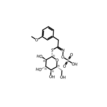 COc1cccc(CC(=NOS(=O)(=O)O)S[C@@H]2O[C@H](CO)[C@@H](O)[C@H](O)[C@H]2O)c1